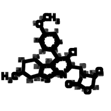 COc1ccc(-c2c(Cl)c(CN3C(=O)COC3=O)nc3sc4c(c23)CCC(C)C4)cc1